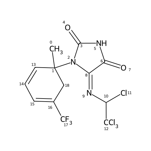 CC1(N2C(=O)NC(=O)C2=NC(Cl)C(Cl)(Cl)Cl)C=CC=C(C(F)(F)F)C1